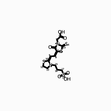 O=C(O)CN1C(=O)/C(=C\C=C2\SCCN2CCCS(=O)(=O)O)SC1=S